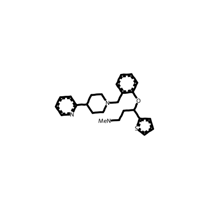 CNCCC(Oc1ccccc1CN1CCC(c2ccccn2)CC1)c1cccs1